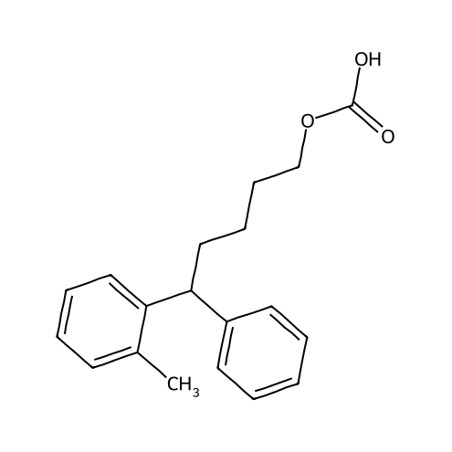 Cc1ccccc1C(CCCCOC(=O)O)c1ccccc1